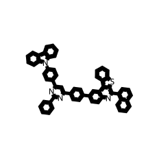 c1ccc(-c2nc(-c3ccc(-c4ccc5nc(-c6cccc7ccccc67)c6sc7ccccc7c6c5c4)cc3)cc(-c3ccc(-n4c5ccccc5c5ccccc54)cc3)n2)cc1